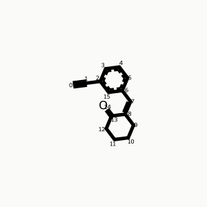 C#Cc1cccc(/C=C2/CCCCC2=O)c1